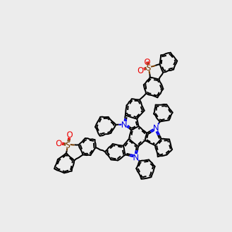 O=S1(=O)c2ccccc2-c2cc(-c3ccc4c(c3)c3c(c5c6ccccc6n(-c6ccccc6)c5c5c6cc(-c7ccc8c(c7)S(=O)(=O)c7ccccc7-8)ccc6n(-c6ccccc6)c53)n4-c3ccccc3)ccc21